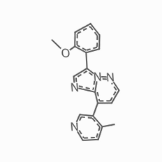 COc1ccccc1-c1cnc2c(-c3cnccc3C)ccnn12